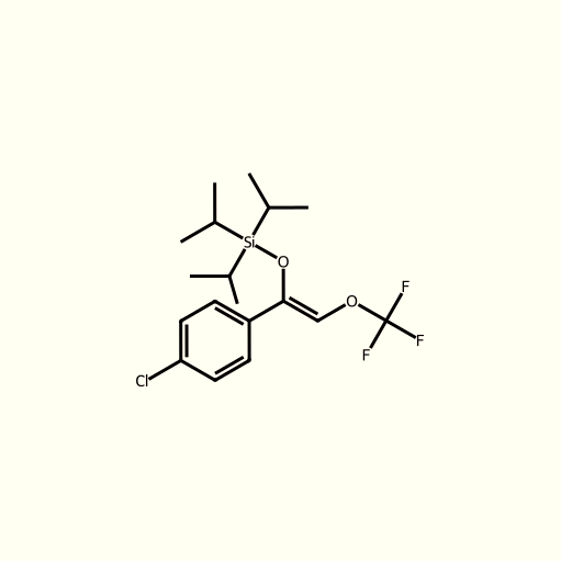 CC(C)[Si](OC(=COC(F)(F)F)c1ccc(Cl)cc1)(C(C)C)C(C)C